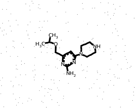 CC(C)OCc1cc(N2CCNCC2)nc(N)n1